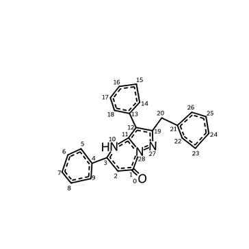 O=c1cc(-c2ccccc2)[nH]c2c(-c3ccccc3)c(Cc3ccccc3)nn12